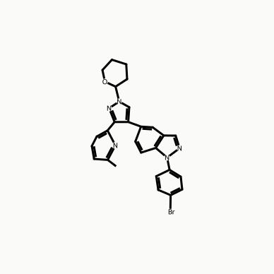 Cc1cccc(-c2nn(C3CCCCO3)cc2-c2ccc3c(cnn3-c3ccc(Br)cc3)c2)n1